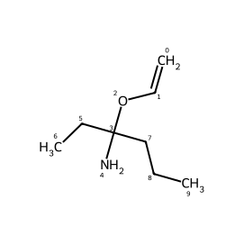 C=COC(N)(CC)CCC